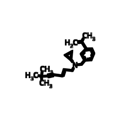 C=C(C)c1cccc(CN(C/C=C/C#CC(C)(C)C)C2CC2)c1